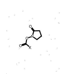 O=[C]([K])ON1CCCC1=O